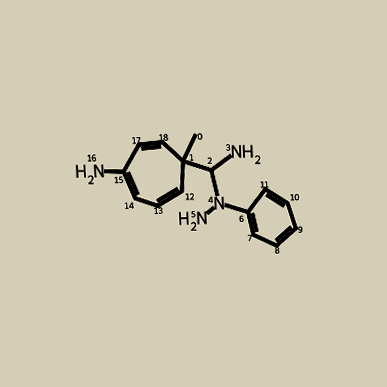 CC1(C(N)N(N)c2ccccc2)C=CC=C(N)C=C1